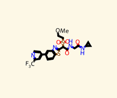 COCCS(=O)(=O)C(C(=O)NCC(=O)NC1CC1)c1nc2cc(-c3ccnc(C(F)(F)F)c3)ccc2s1